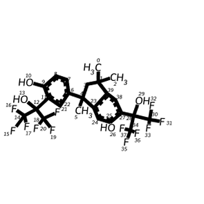 CC1(C)CC(C)(c2ccc(O)c(C(O)(C(F)(F)F)C(F)(F)F)c2)c2cc(O)c(C(O)(C(F)(F)F)C(F)(F)F)cc21